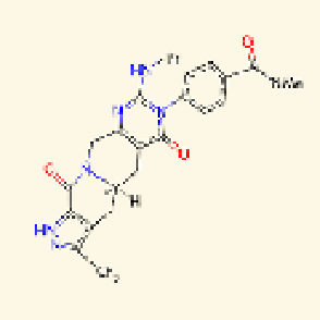 CNC(=O)c1ccc(-n2c(NC(C)C)nc3c(c2=O)C[C@H]2Cc4c(C(F)(F)F)n[nH]c4C(=O)N2C3)cc1